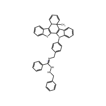 CC12C=CC=CC1c1c(sc3ccccc13)-c1c2c2ccccc2n1-c1ccc(C/N=C(\NNCc2ccccc2)c2ccccc2)cc1